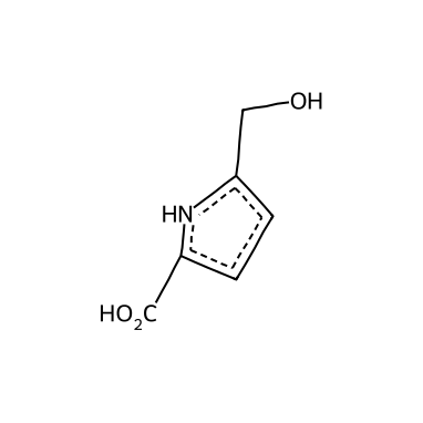 O=C(O)c1ccc(CO)[nH]1